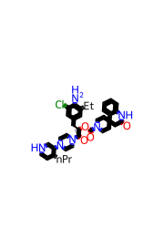 CCCC1CCNCC1N1CCN(C(=O)[C@@H](Cc2cc(Cl)c(N)c(CC)c2)OC(=O)N2CCC3(CC2)CC(=O)Nc2ccccc23)CC1